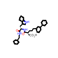 O=C(O)C[C@@H](CCCc1cccc(-c2ccccc2)c1)C(=O)N[C@@H](Cc1c[nH]c2ccccc12)C(=O)NCCc1ccccc1